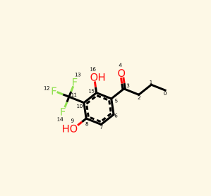 CCCC(=O)c1ccc(O)c(C(F)(F)F)c1O